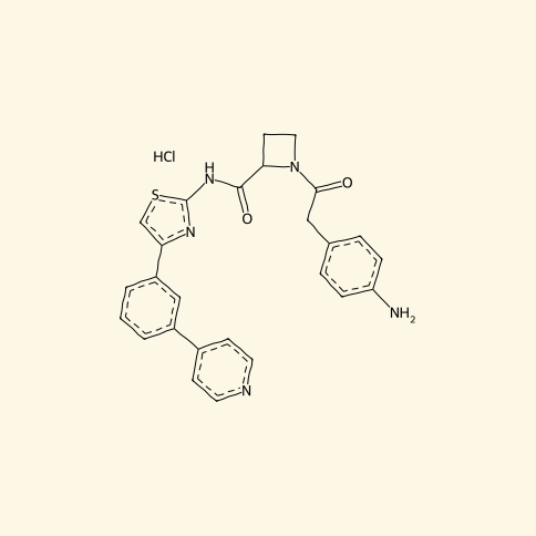 Cl.Nc1ccc(CC(=O)N2CCC2C(=O)Nc2nc(-c3cccc(-c4ccncc4)c3)cs2)cc1